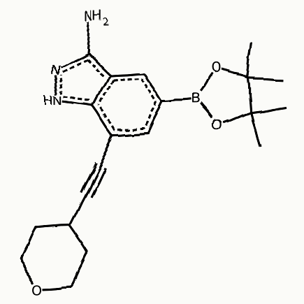 CC1(C)OB(c2cc(C#CC3CCOCC3)c3[nH]nc(N)c3c2)OC1(C)C